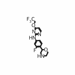 Fc1cc(Nc2nccc(OCC(F)(F)F)n2)ccc1C1CNCCO1